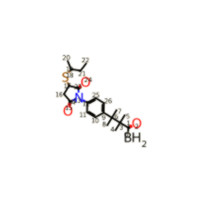 BC(=O)C(C)(C)C(C)(C)c1ccc(N2C(=O)CC(SC(C)CC)C2=O)cc1